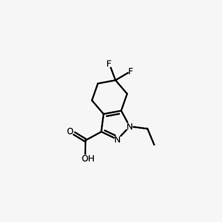 CCn1nc(C(=O)O)c2c1CC(F)(F)CC2